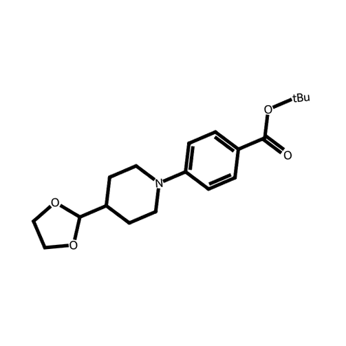 CC(C)(C)OC(=O)c1ccc(N2CCC(C3OCCO3)CC2)cc1